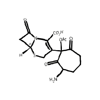 CC(=O)OC1(C2=C(C(=O)O)N3C(=O)C[C@H]3SC2)C(=O)CCCC(N)C1=O